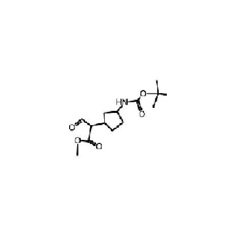 COC(=O)C(C=O)C1CCC(NC(=O)OC(C)(C)C)C1